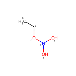 CCON(O)O